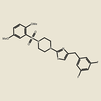 COc1ccc(OC)c(S(=O)(=O)N2CCN(c3nc(Cc4cc(F)cc(F)c4)cs3)CC2)c1